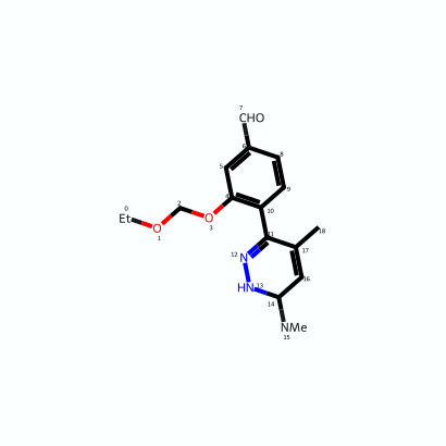 CCOCOc1cc(C=O)ccc1C1=NNC(NC)C=C1C